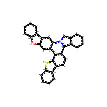 c1ccc2c(c1)cn1c3cc4c(cc3c3c(ccc5c6ccccc6sc53)c21)oc1ccccc14